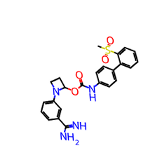 CS(=O)(=O)c1ccccc1-c1ccc(NC(=O)OC2CCN2c2cccc(C(=N)N)c2)cc1